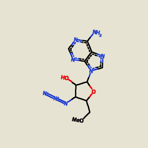 [CH2]OCC1OC(n2cnc3c(N)ncnc32)C(O)C1N=[N+]=[N-]